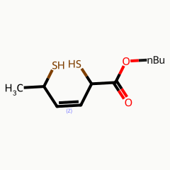 CCCCOC(=O)C(S)/C=C\C(C)S